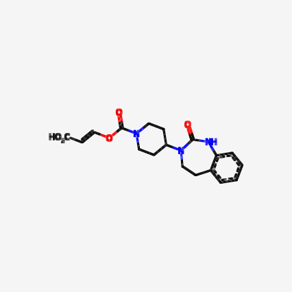 O=C(O)C=COC(=O)N1CCC(N2CCc3ccccc3NC2=O)CC1